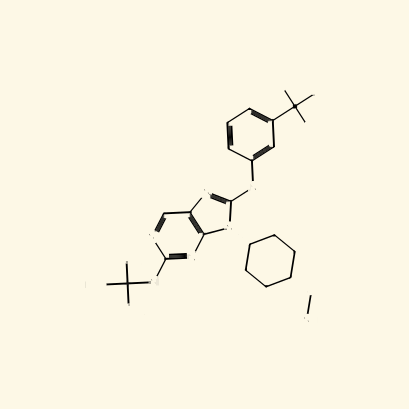 CC(C)(C)Nc1ncc2nc(Nc3cccc(C(F)(F)F)c3)n([C@H]3CC[C@@H](CN)CC3)c2n1